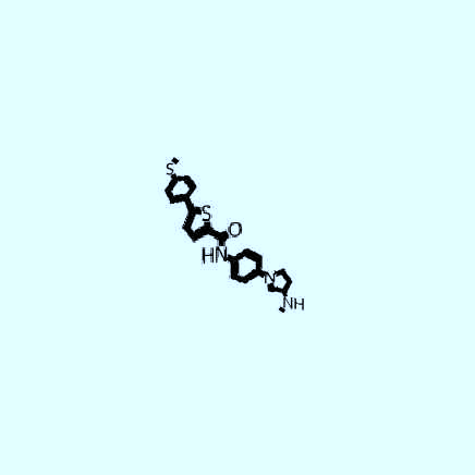 CNC1CCN(c2ccc(NC(=O)c3ccc(-c4ccc(SC)cc4)s3)cc2)C1